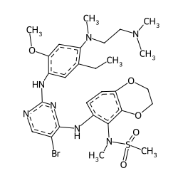 CCc1cc(Nc2ncc(Br)c(Nc3ccc4c(c3N(C)S(C)(=O)=O)OCCO4)n2)c(OC)cc1N(C)CCN(C)C